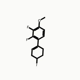 COc1ccc(C2=CCC(I)CC2)c(F)c1F